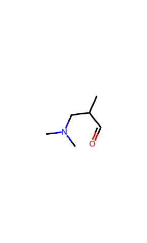 C[C](C=O)CN(C)C